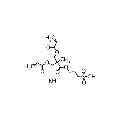 C=CC(=O)OCC(C)(COC(=O)C=C)C(=O)OCCCS(=O)(=O)O.[KH]